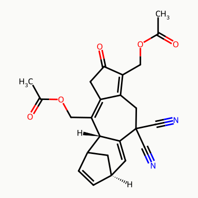 CC(=O)OCC1=C2CC(C#N)(C#N)C3=C[C@H]4C=CC(C4)[C@@H]3C(COC(C)=O)=C2CC1=O